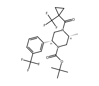 C[C@@H]1CN(C(=O)OC(C)(C)C)[C@H](c2cccc(C(F)(F)F)c2)CN1C(=O)C1(C(F)(F)F)CC1